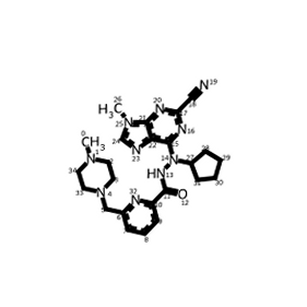 CN1CCN(Cc2cccc(C(=O)NN(c3nc(C#N)nc4c3ncn4C)C3CCCC3)n2)CC1